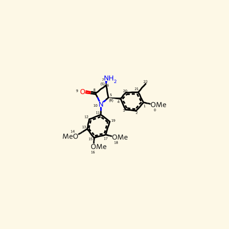 COc1ccc([C@@H]2[C@H](N)C(=O)N2c2cc(OC)c(OC)c(OC)c2)cc1C